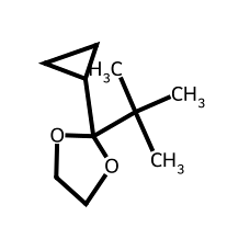 CC(C)(C)C1(C2CC2)OCCO1